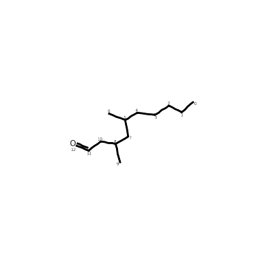 CCCCCC(C)CC(C)CC=O